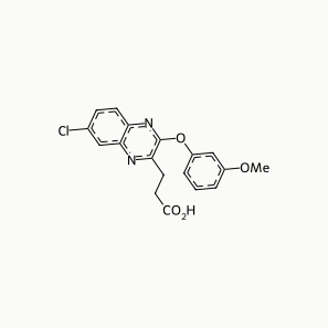 COc1cccc(Oc2nc3ccc(Cl)cc3nc2CCC(=O)O)c1